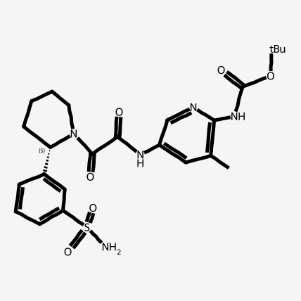 Cc1cc(NC(=O)C(=O)N2CCCC[C@H]2c2cccc(S(N)(=O)=O)c2)cnc1NC(=O)OC(C)(C)C